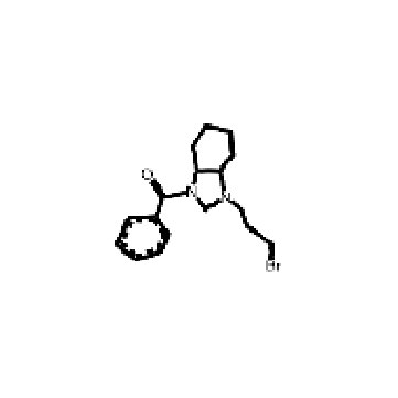 O=C(c1ccccc1)N1[CH]N(CCCBr)C2CCCCC21